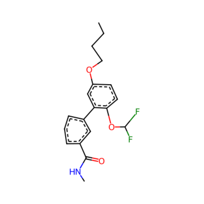 CCCCOc1ccc(OC(F)F)c(-c2cccc(C(=O)NC)c2)c1